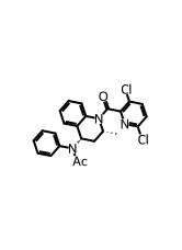 CC(=O)N(c1ccccc1)[C@H]1C[C@@H](C)N(C(=O)c2nc(Cl)ccc2Cl)c2ccccc21